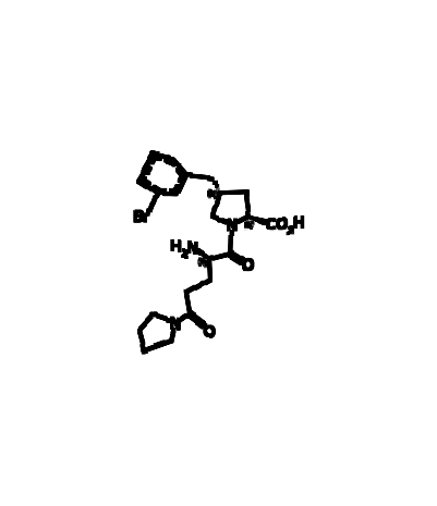 N[C@H](CCC(=O)N1CCCC1)C(=O)N1C[C@H](Cc2cccc(Br)c2)C[C@H]1C(=O)O